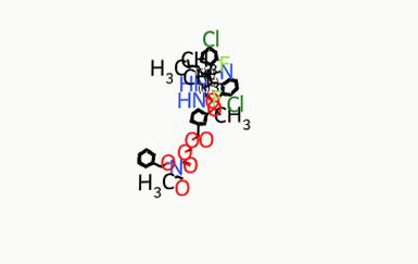 COc1cc(C(=O)OCOC(=O)N(OCc2ccccc2)C(C)C=O)ccc1NC(=O)[C@@H]1N[C@@H](CC(C)(C)C)[C@](C#N)(c2ccc(Cl)cc2F)[C@H]1c1cccc(Cl)c1F